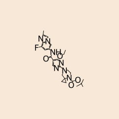 CCOc1nc(N2CCN(C(=O)OC(C)(C)C)C3(CC3)C2)ncc1C(=O)Nc1cc(F)c2nc(C)cn2c1